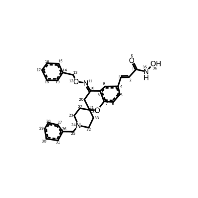 O=C(/C=C/c1ccc2c(c1)C(=NOCc1ccccc1)CC1(CCN(Cc3ccccc3)CC1)O2)NO